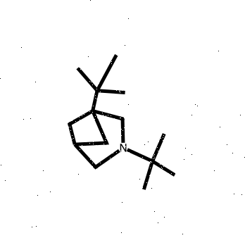 CC(C)(C)N1CC2CC(C(C)(C)C)(C2)C1